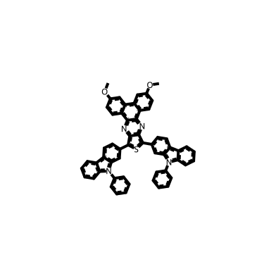 COc1ccc2c(c1)c1cc(OC)ccc1c1nc3c(-c4ccc5c6ccccc6n(-c6ccccc6)c5c4)sc(-c4ccc5c6ccccc6n(-c6ccccc6)c5c4)c3nc21